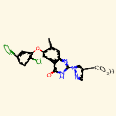 Cc1cc2nc(-n3cc(C(=O)O)cn3)[nH]c(=O)c2cc1Oc1cc(Cl)ccc1Cl